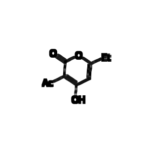 CCc1cc(O)c(C(C)=O)c(=O)o1